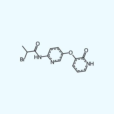 CC(Br)C(=O)Nc1ccc(Oc2ccc[nH]c2=O)cn1